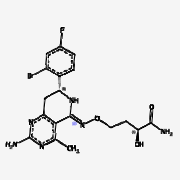 Cc1nc(N)nc2c1/C(=N/OCC[C@H](O)C(N)=O)N[C@@H](c1ccc(F)cc1Br)C2